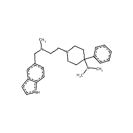 CN(CCN1CCC(c2ccccc2)(N(C)C)CC1)Cc1ccc2[nH]ccc2c1